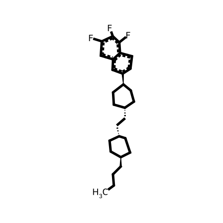 CCCC[C@H]1CC[C@H](CC[C@H]2CC[C@H](c3ccc4c(F)c(F)c(F)cc4c3)CC2)CC1